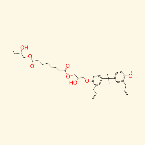 C=CCc1cc(C(C)(C)c2ccc(OCC(O)COC(=O)CCCCCCC(=O)OCC(O)CC)c(CC=C)c2)ccc1OC